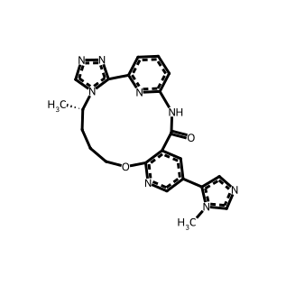 C[C@H]1CCCOc2ncc(-c3cncn3C)cc2C(=O)Nc2cccc(n2)-c2nncn21